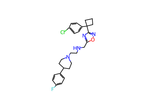 Fc1ccc(C2CCN(CCNCc3nc(C4(c5ccc(Cl)cc5)CCC4)no3)CC2)cc1